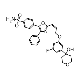 NS(=O)(=O)c1ccc(-c2oc(/C=C\COc3cc(F)cc(C4(O)CCOCC4)c3)nc2-c2ccccc2)cc1